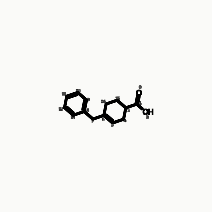 O=C(O)C1CC=C(Cc2ccccc2)CC1